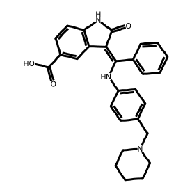 O=C1Nc2ccc(C(=O)O)cc2C1=C(Nc1ccc(CN2CCCCC2)cc1)c1ccccc1